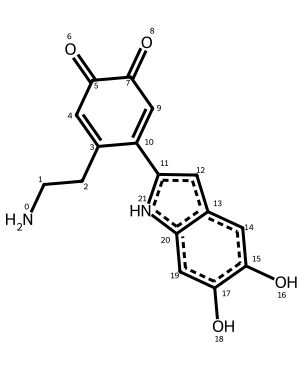 NCCC1=CC(=O)C(=O)C=C1c1cc2cc(O)c(O)cc2[nH]1